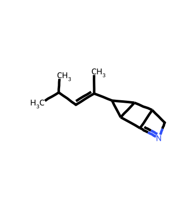 CC(=CC(C)C)C1C2C3=NCC3C12